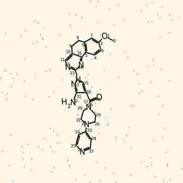 COc1ccc2c(c1)CCc1cnc(-n3cc(C(=O)N4CCN(c5ccncc5)CC4)c(N)n3)nc1-2